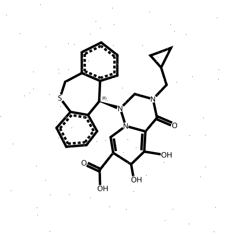 O=C(O)C1=CN2C(=C(O)C1O)C(=O)N(CC1CC1)CN2[C@@H]1c2ccccc2CSc2ccccc21